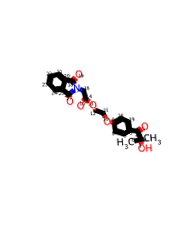 CC(C)(O)C(=O)c1ccc(OCCOC(=O)CN2C(=O)c3ccccc3C2=O)cc1